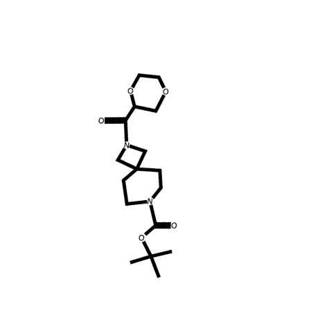 CC(C)(C)OC(=O)N1CCC2(CC1)CN(C(=O)C1COCCO1)C2